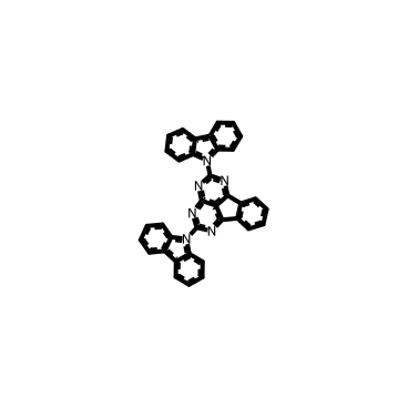 c1ccc2c(c1)-c1nc(-n3c4ccccc4c4ccccc43)nc3nc(-n4c5ccccc5c5ccccc54)nc-2c13